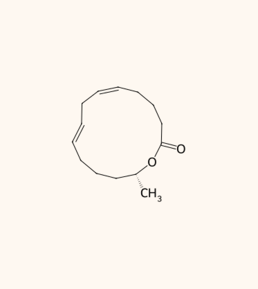 C[C@@H]1CCC/C=C/C/C=C\CCCC(=O)O1